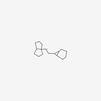 [CH](CC1C2CCCCC12)C12CCCC1CCC2